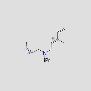 C=C/C(C)=C/CN(C/C=C\C)C(C)C